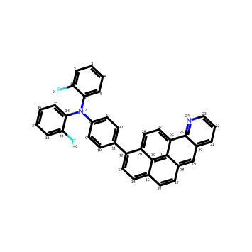 Fc1ccccc1N(c1ccc(-c2ccc3ccc4cc5cccnc5c5ccc2c3c45)cc1)c1ccccc1F